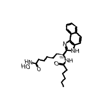 CCCCCC(=O)N[C@@H](CCCCCC(=O)NO)c1nc2c(ccc3ccccc32)[nH]1